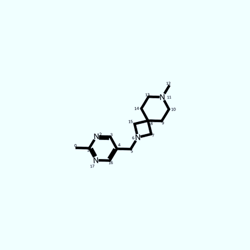 Cc1ncc(CN2CC3(CCN(C)CC3)C2)cn1